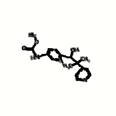 CC(C)(C)OC(=O)Nc1ccc(C(O)C(C)(C)c2ccncc2)nc1